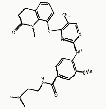 COc1cc(C(=O)NCCN(C)C)ccc1Nc1ncc(C(F)(F)F)c(Oc2cccc3c2N(C)C(=O)CC3)n1